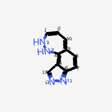 C1=CNNc2c3c(ccc2=C1)=NN=C3